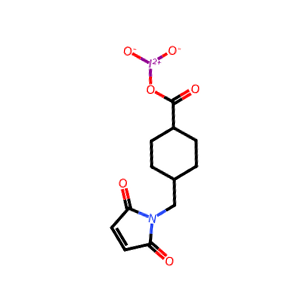 O=C(O[I+2]([O-])[O-])C1CCC(CN2C(=O)C=CC2=O)CC1